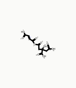 O=C(O)/C=C/C(=O)OC(=O)CC(O)(CC(=O)O)C(=O)O